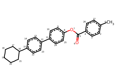 Cc1ccc(C(=O)Oc2ccc(-c3ccc(C4CCCCC4)cc3)cc2)cc1